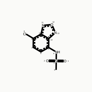 CS(=O)(=O)Nc1ccc(Cl)c2nonc12